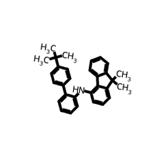 CC(C)(C)c1ccc(-c2ccccc2Nc2cccc3c2-c2ccccc2C3(C)C)cc1